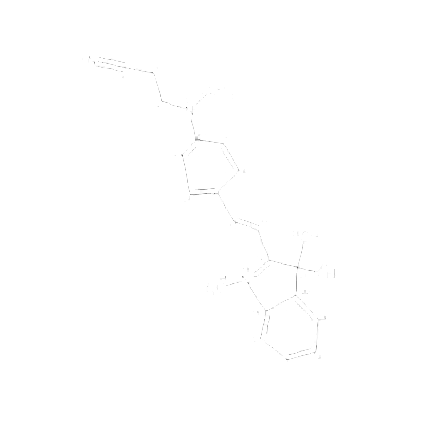 CN(CCC#N)c1ccc(/C=C/C2=[N+](C)c3ccccc3C2(C)C)cc1